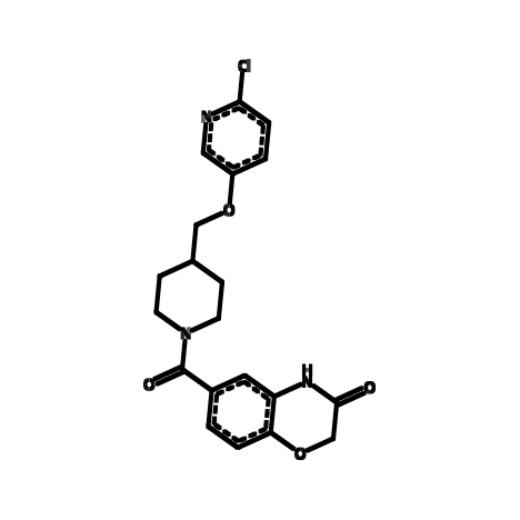 O=C1COc2ccc(C(=O)N3CCC(COc4ccc(Cl)nc4)CC3)cc2N1